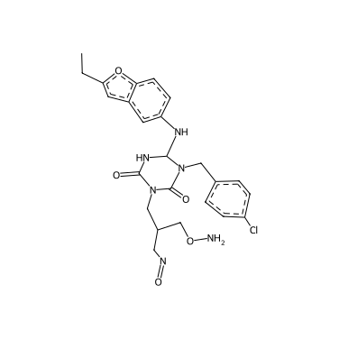 CCc1cc2cc(NC3NC(=O)N(CC(CN=O)CON)C(=O)N3Cc3ccc(Cl)cc3)ccc2o1